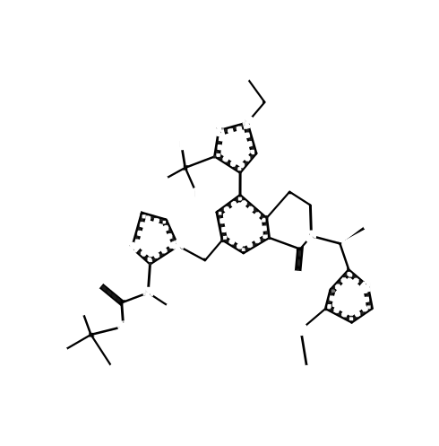 CCn1cc(-c2cc(Cn3ccnc3N(C)C(=O)OC(C)(C)C)cc3c2CCN([C@@H](C)c2cc(OC)ccn2)C3=O)c(C(F)(F)F)n1